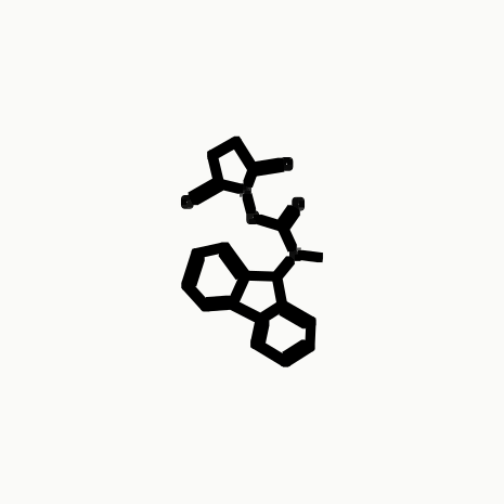 CN(C(=O)ON1C(=O)CCC1=O)C1c2ccccc2-c2ccccc21